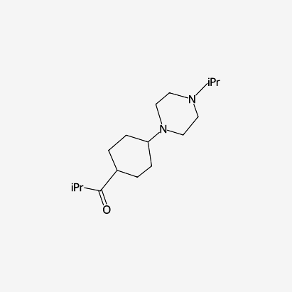 CC(C)C(=O)C1CCC(N2CCN(C(C)C)CC2)CC1